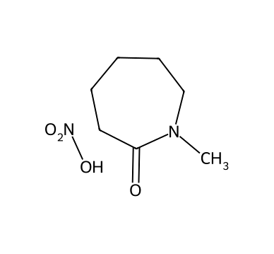 CN1CCCCCC1=O.O=[N+]([O-])O